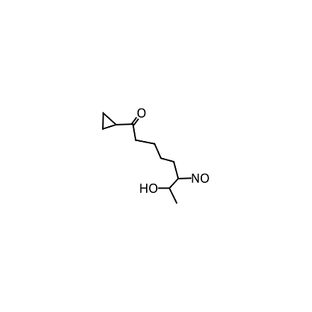 CC(O)C(CCCCC(=O)C1CC1)N=O